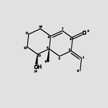 C/C=C1\C[C@@]2(C)C(=CC1=O)CCC[C@@H]2O